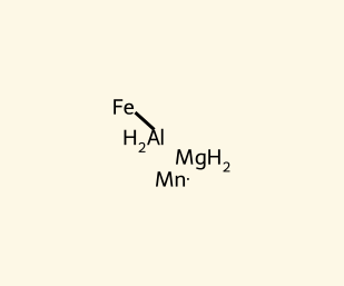 [AlH2][Fe].[MgH2].[Mn]